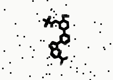 COC1CCN(c2cc(-c3cnc4ccc(C(F)F)nn34)ncn2)CC1CNS(C)(=O)=O